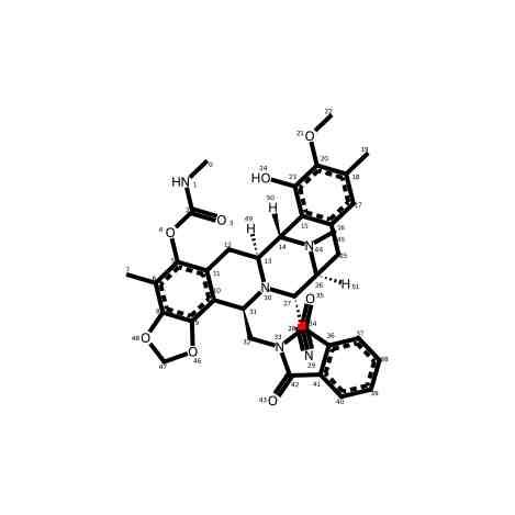 CNC(=O)Oc1c(C)c2c(c3c1C[C@H]1[C@@H]4c5c(cc(C)c(OC)c5O)C[C@@H]([C@H](C#N)N1[C@H]3CN1C(=O)c3ccccc3C1=O)N4C)OCO2